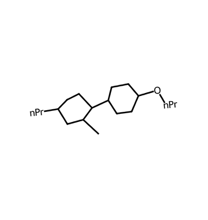 CCCOC1CCC(C2CCC(CCC)CC2C)CC1